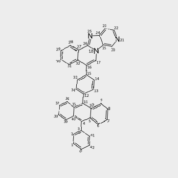 c1ccc(-c2c3ccccc3c(-c3ccc(-c4cn5c6cnccc6nc5c5ccccc45)cc3)c3ccccc23)cc1